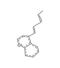 CC=CC=Cc1cc[o+]c2ccccc12